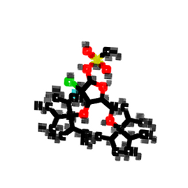 CC(C)[Si](OCC1OC(OS(C)(=O)=O)C(F)(Cl)C1O[Si](C(C)C)(C(C)C)C(C)C)(C(C)C)C(C)C